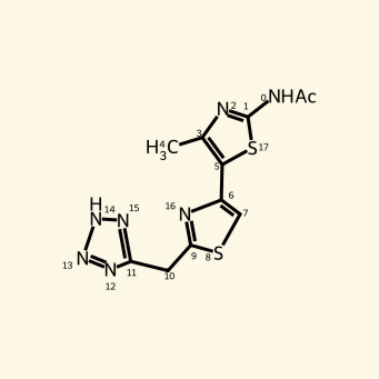 CC(=O)Nc1nc(C)c(-c2csc(Cc3nn[nH]n3)n2)s1